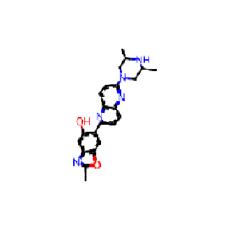 Cc1nc2cc(O)c(-c3ccc4nc(N5CC(C)NC(C)C5)ccc4n3)cc2o1